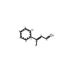 CC(=CC=O)c1ccccc1